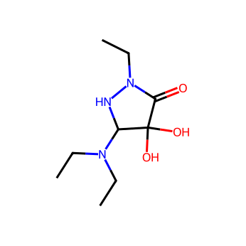 CCN1NC(N(CC)CC)C(O)(O)C1=O